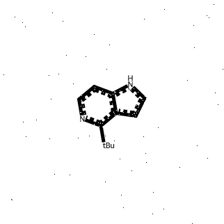 CC(C)(C)c1nccc2[nH]ccc12